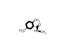 CNC(=O)[C@@H]1C[C@H](C)CC[C@H]1C